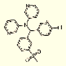 CS(=O)(=O)c1cccc(C(c2ccc(Cl)nc2)N(c2cccnc2)c2cccnc2)c1